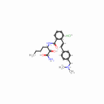 CCCCC(NC(=O)c1ccccc1C=Cc1ccc(CN(C)C)cc1)C(=O)C(N)=O.Cl